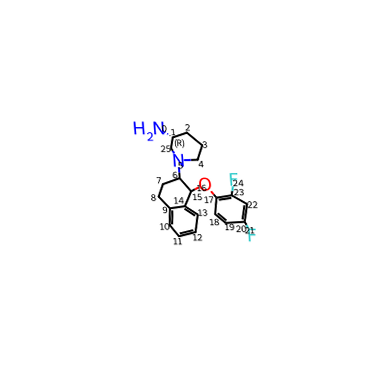 N[C@@H]1CCCN(C2CCc3ccccc3C2Oc2ccc(F)cc2F)C1